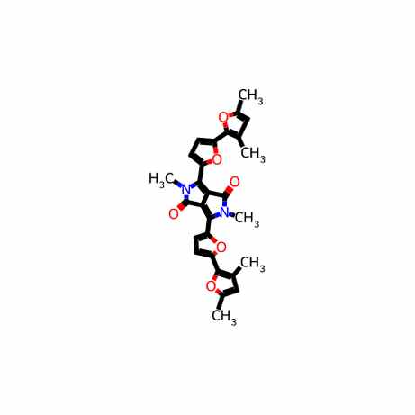 Cc1cc(C)c(-c2ccc(C3=C4C(=O)N(C)C(c5ccc(-c6oc(C)cc6C)o5)=C4C(=O)N3C)o2)o1